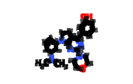 CN(C)c1cccc(N2CCc3c(-c4cccc(O)c4)nc(N4CCOCC4)nc32)c1